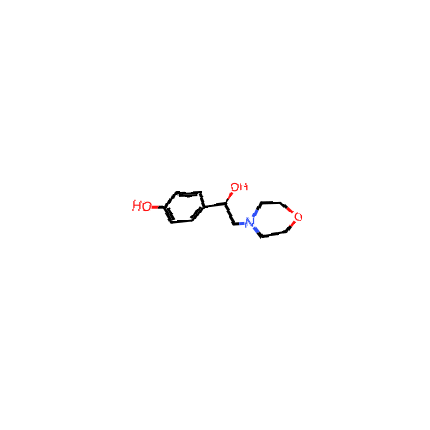 Oc1ccc([C@@H](O)CN2CCOCC2)cc1